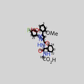 COc1cccc(O)c1-c1cc(C(=O)NC(C(=O)NCC(=O)O)C2CCCCC2)nn1C1=C=C=C(F)C=C1